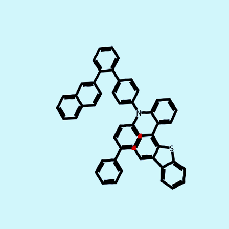 c1ccc(-c2ccc(N(c3ccc(-c4ccccc4-c4ccc5ccccc5c4)cc3)c3ccccc3-c3cccc4c3sc3ccccc34)cc2)cc1